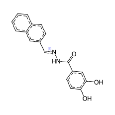 O=C(N/N=C/c1ccc2ccccc2c1)c1ccc(O)c(O)c1